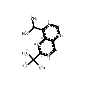 CC(C)c1ncnc2cnc(C(C)(C)C)nc12